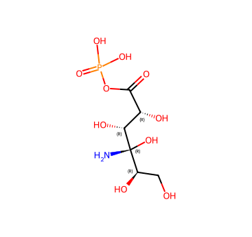 N[C@@](O)([C@H](O)CO)[C@H](O)[C@@H](O)C(=O)OP(=O)(O)O